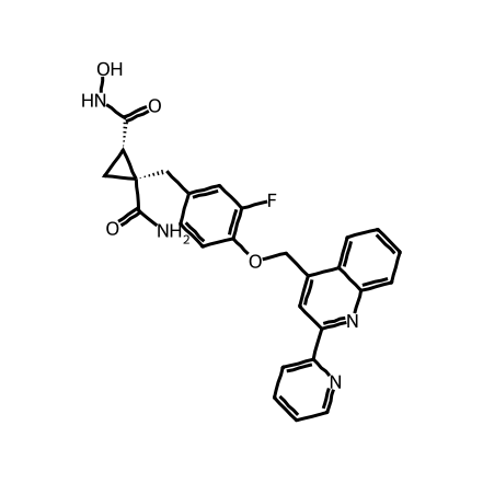 NC(=O)[C@@]1(Cc2ccc(OCc3cc(-c4ccccn4)nc4ccccc34)c(F)c2)C[C@@H]1C(=O)NO